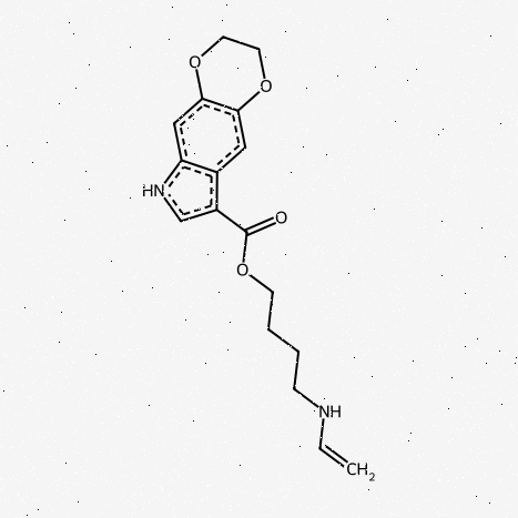 C=CNCCCCOC(=O)c1c[nH]c2cc3c(cc12)OCCO3